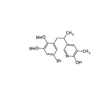 COc1cc(C(C)C)cc(CC(C)c2cnc(O)c(C)c2)c1OC